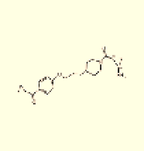 N[C@@H]1C[C@@H]1C(=O)N1CCN(CCCOc2ccc(C(=O)C3CC3)cc2)CC1